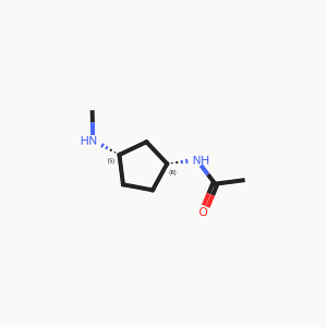 CN[C@H]1CC[C@@H](NC(C)=O)C1